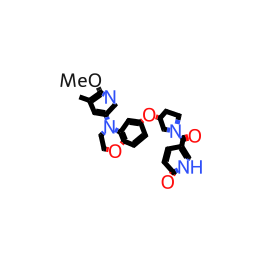 COc1ncc(N2CCOc3ccc(OC4CCN(C(=O)c5ccc(=O)[nH]c5)C4)cc32)cc1C